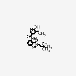 CCc1cc(C(=O)Nc2cccc3ncn(CCC(C)(C)C)c(=O)c23)cnc1O